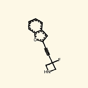 FC1(C#Cc2cc3ccccc3o2)CNC1